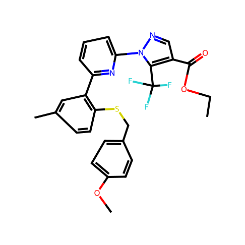 CCOC(=O)c1cnn(-c2cccc(-c3cc(C)ccc3SCc3ccc(OC)cc3)n2)c1C(F)(F)F